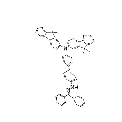 CC1(C)c2ccccc2-c2ccc(N(c3ccc(-c4ccc(NN=C(c5ccccc5)c5ccccc5)cc4)cc3)c3ccc4c(c3)C(C)(C)c3ccccc3-4)cc21